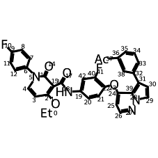 CCOc1ccn(-c2ccc(F)cc2)c(=O)c1C(=O)Nc1ccc(Oc2ccnn3ccc(-c4cccc(C(C)=O)c4)c23)c(F)c1